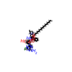 C=C/C=C(\C=C/C)C[C@H](NP(=O)(OC[C@@]1(C)O[C@@H](n2cnc3c(N)nc(F)nc32)C[C@@H]1O)Oc1ccccc1)C(=O)OCCCCCCCCCCCCCCCCC